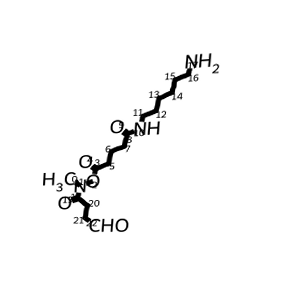 CN(OC(=O)CCCC(=O)NCCCCCCN)C(=O)CCC=O